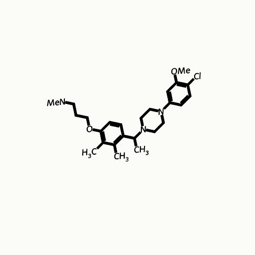 CNCCCOc1ccc(C(C)N2CCN(c3ccc(Cl)c(OC)c3)CC2)c(C)c1C